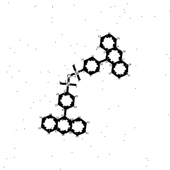 C[Si](C)(O[Si](C)(C)c1ccc(-c2c3ccccc3cc3ccccc23)cc1)c1ccc(-c2c3ccccc3cc3ccccc23)cc1